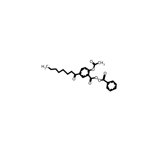 CCCCCCCC(=O)c1ccc(OC(C)=O)c(C(=O)OOC(=O)c2ccccc2)c1